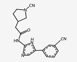 N#Cc1cccc(-c2cnc(NC(=O)CC3CCN(C#N)C3)[nH]2)c1